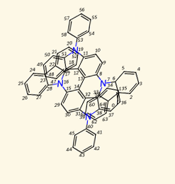 CC12C=CC=CC1N(c1ccc3c(c1-c1c(-n4c5ccccc5c5ccccc54)ccc4c1c1ccccc1n4-c1ccccc1)c1ccccc1n3-c1ccccc1)c1ccccc12